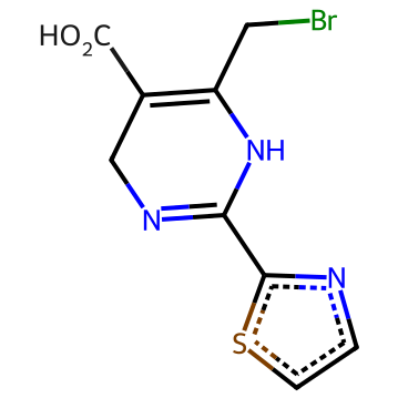 O=C(O)C1=C(CBr)NC(c2nccs2)=NC1